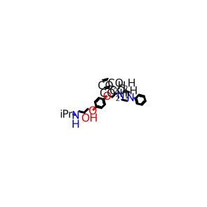 CC(C)NC[C@H](O)COc1ccc(OCCN2CCN(c3ccccc3)CC2)cc1.O=C(O)/C=C\C(=O)O.O=C(O)/C=C\C(=O)O